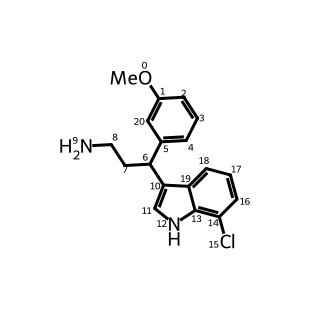 COc1cccc(C(CCN)c2c[nH]c3c(Cl)cccc23)c1